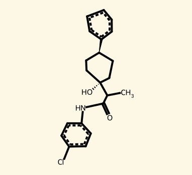 CC(C(=O)Nc1ccc(Cl)cc1)[C@]1(O)CC[C@H](c2ccccc2)CC1